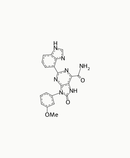 COc1cccc(-n2c(=O)[nH]c3c(C(N)=O)nc(-c4cccc5[nH]cnc45)nc32)c1